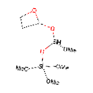 CO[SiH](OC1CCO1)O[Si](OC)(OC)OC